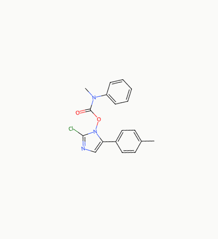 Cc1ccc(-c2cnc(Cl)n2OC(=O)N(C)c2ccccc2)cc1